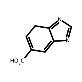 O=C(O)C1=CCC2=NC=NC2=C1